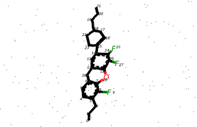 CCCc1ccc2c(c1F)Oc1c(cc(C3=CCC(CCC)CC3)c(F)c1F)C2